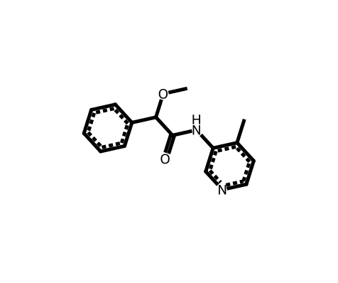 COC(C(=O)Nc1cnccc1C)c1ccccc1